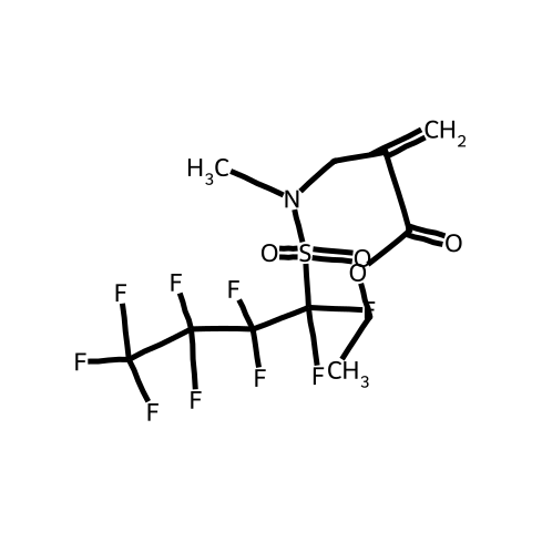 C=C(CN(C)S(=O)(=O)C(F)(F)C(F)(F)C(F)(F)C(F)(F)F)C(=O)OCC